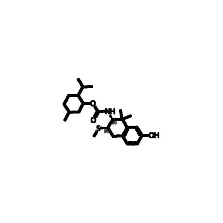 CS[C@@H]1Cc2ccc(O)cc2C(C)(C)[C@H]1NC(=O)OC1CC(C)CCC1C(C)C